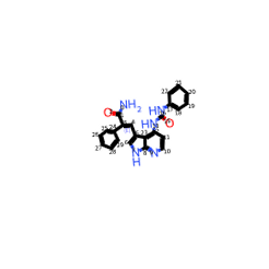 NC(=O)/C(=C/c1c[nH]c2nccc(NC(=O)Nc3ccccc3)c12)c1ccccc1